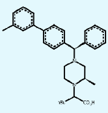 CCCCC(C(=O)O)N1CCN([C@H](c2ccccc2)c2ccc(-c3cccc(C)c3)cc2)C[C@H]1C